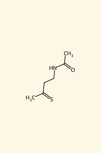 CC(=O)NCCC(C)=S